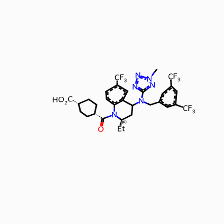 CC[C@@H]1CC(N(Cc2cc(C(F)(F)F)cc(C(F)(F)F)c2)c2nnn(C)n2)c2cc(C(F)(F)F)ccc2N1C(=O)[C@H]1CC[C@@H](C(=O)O)CC1